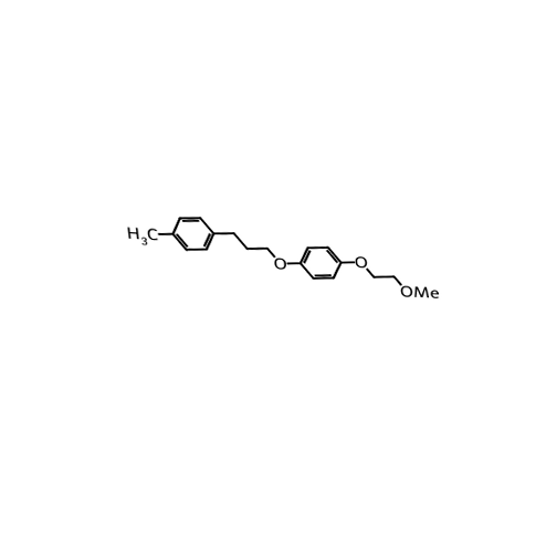 COCCOc1ccc(OCCCc2ccc(C)cc2)cc1